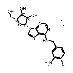 Nc1cc(CNc2ncnc3c2ncn3[C@@H]2O[C@H](CO)[C@@H](O)[C@H]2O)ccc1Cl